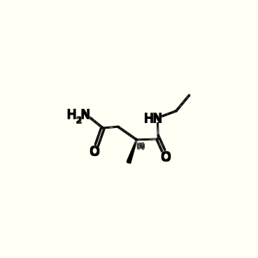 CCNC(=O)[C@@H](C)CC(N)=O